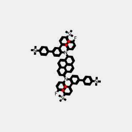 C[Si](C)(C)c1ccc(-c2ccc(N(C3=C4C=CC5=C6C(=CC=C(C=C3)C46)C(N(c3ccc(F)cc3)c3ccc(-c4ccc([Si](C)(C)C)cc4)cc3-c3ccc([Si](C)(C)C)cc3)C=C5)c3ccc(F)cc3)c(-c3ccc([Si](C)(C)C)cc3)c2)cc1